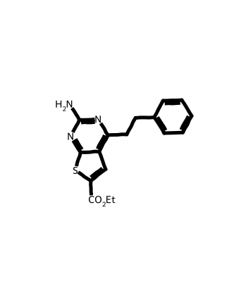 CCOC(=O)c1cc2c(CCc3ccccc3)nc(N)nc2s1